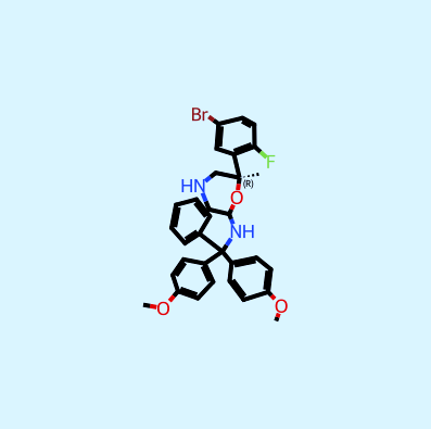 COc1ccc(C(NC2CNC[C@@](C)(c3cc(Br)ccc3F)O2)(c2ccccc2)c2ccc(OC)cc2)cc1